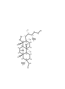 CCC[C@H](O)[C@@H](C)[C@H]1CC[C@H]2[C@@H]3CC[C@H]4C[C@](O)(CC)CC[C@]4(C)[C@H]3CC[C@]12C